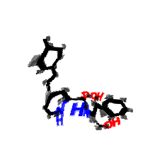 CC1CCC(CC[C@H]2CCN[C@H](C(=O)N[C@@H](CO)[C@H](O)c3ccccc3)C2)CC1